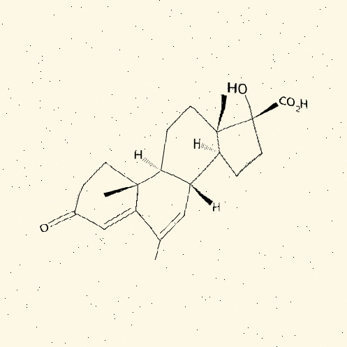 CC1=C[C@@H]2[C@H](CC[C@@]3(C)[C@H]2CC[C@]3(O)C(=O)O)[C@@]2(C)CCC(=O)C=C12